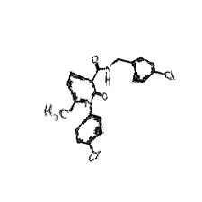 Cc1ccc(C(=O)NCc2ccc(Cl)cc2)c(=O)n1-c1ccc(Cl)cc1